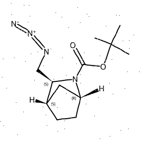 CC(C)(C)OC(=O)N1[C@@H]2CC[C@@H](C2)[C@H]1CN=[N+]=[N-]